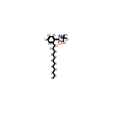 CCCCCCCCCCCCc1ccccc1C1=NC(C)(C)CO1